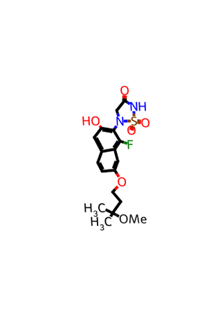 COC(C)(C)CCOc1ccc2cc(O)c(N3CC(=O)NS3(=O)=O)c(F)c2c1